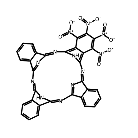 O=[N+]([O-])c1c([N+](=O)[O-])c([N+](=O)[O-])c2c3nc4nc(nc5[nH]c(nc6nc(nc([nH]3)c2c1[N+](=O)[O-])-c1ccccc1-6)c1ccccc51)-c1ccccc1-4